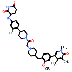 Cc1c(-c2ccc(CC3CCN(CC(=O)N4CCC(c5ccc(NC6CCC(=O)NC6=O)cc5Cl)CC4)CC3)c(OC(F)(F)F)c2)cn(C)c(=O)c1C